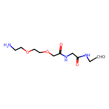 NCCOCCOCC(=O)NCC(=O)NCC=O